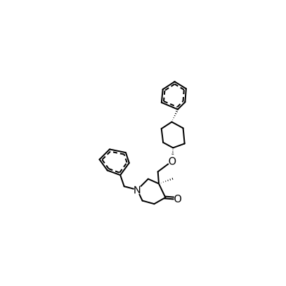 C[C@@]1(CO[C@H]2CC[C@@H](c3ccccc3)CC2)CN(Cc2ccccc2)CCC1=O